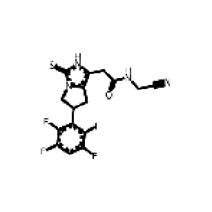 N#CCNC(=O)Cc1[nH]c(=S)n2c1CC(c1c(F)c(F)cc(F)c1F)C2